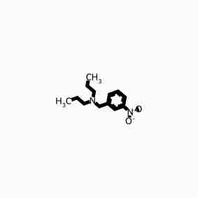 CCCN(CCC)Cc1cccc([N+](=O)[O-])c1